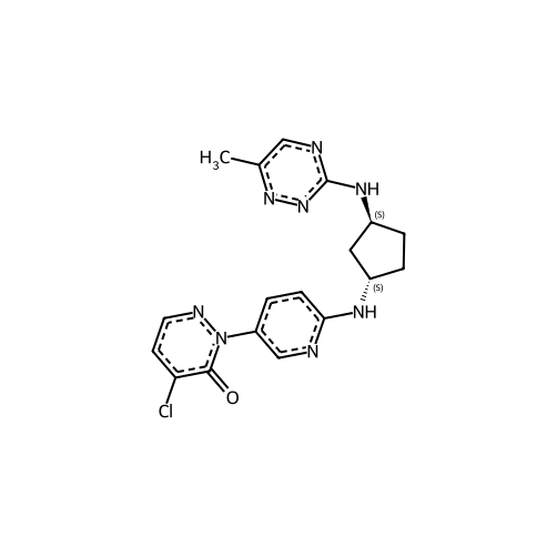 Cc1cnc(N[C@H]2CC[C@H](Nc3ccc(-n4nccc(Cl)c4=O)cn3)C2)nn1